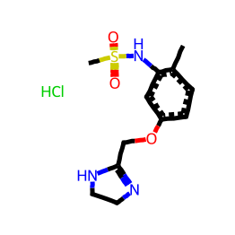 Cc1ccc(OCC2=NCCN2)cc1NS(C)(=O)=O.Cl